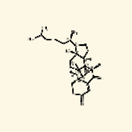 CC(C)CCC[C@@H](C)[C@H]1CC[C@H]2[C@@H]3[C@H]4O[C@H](C)[C@@]5(CCC(=O)C=C5C4=O)[C@H]3CC[C@]12C